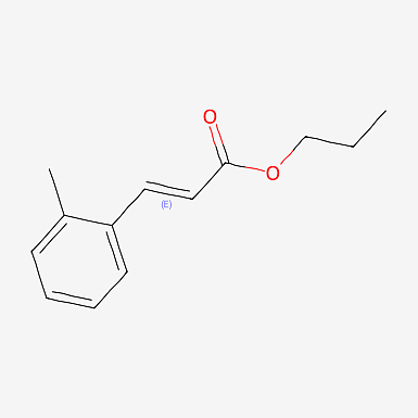 CCCOC(=O)/C=C/c1ccccc1C